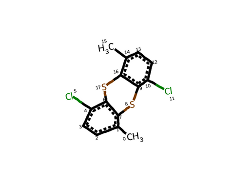 Cc1ccc(Cl)c2c1Sc1c(Cl)ccc(C)c1S2